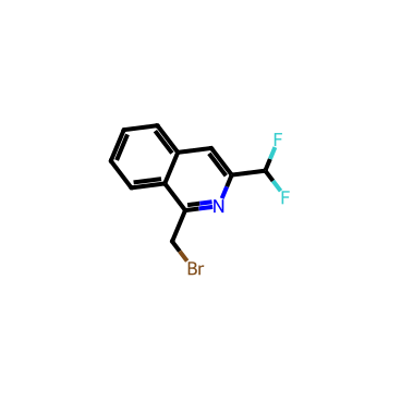 FC(F)c1cc2ccccc2c(CBr)n1